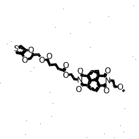 COCCN1C(=O)c2ccc3c4c(ccc(c24)C1=O)C(=O)N(CCOC(=O)CCCC(=O)OCC1COc2cscc2O1)C3=O